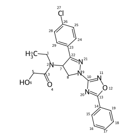 CCN(C(=O)CO)C1CN(c2noc(-c3ccccc3)n2)N=C1c1ccc(Cl)cc1